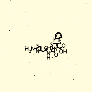 Nc1nc(CC(=O)N[C@@H]2C(=O)N3C(C(=O)O)=C(Sc4ccccc4I)CS[C@@H]23)cs1